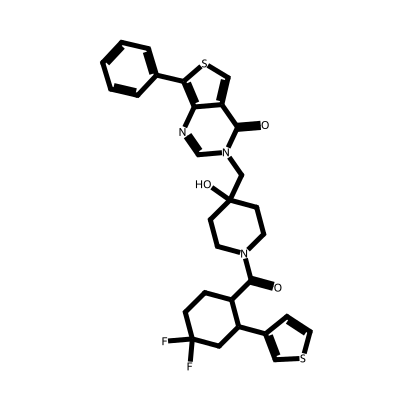 O=C(C1CCC(F)(F)CC1c1ccsc1)N1CCC(O)(Cn2cnc3c(-c4ccccc4)scc3c2=O)CC1